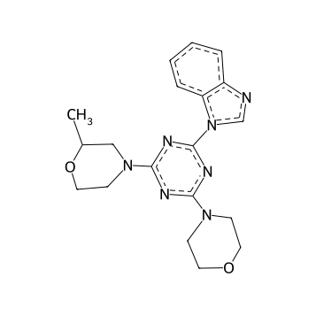 CC1CN(c2nc(N3CCOCC3)nc(-n3cnc4ccccc43)n2)CCO1